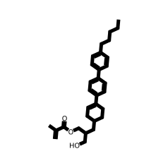 C=C(C)C(=O)OCC(CO)CC1CC=C(c2ccc(-c3ccc(CCCCC)cc3)cc2)CC1